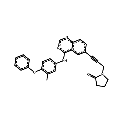 O=C1CCCN1CC#Cc1ccc2ncnc(Nc3ccc(Oc4ccccc4)c(Cl)c3)c2c1